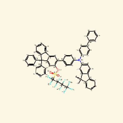 CC1(C)c2ccccc2-c2ccc(N(c3ccc(-c4ccccc4)cc3)c3ccc(-c4cc5c(cc4OS(=O)(=O)C(F)(F)C(F)(F)C(F)(F)C(F)(F)F)C(c4ccccc4)(c4ccccc4)c4ccccc4-5)cc3)cc21